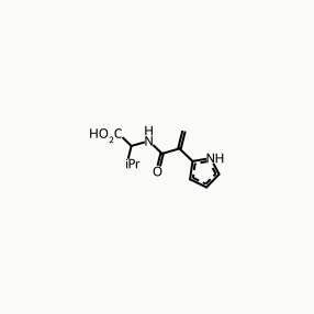 C=C(C(=O)NC(C(=O)O)C(C)C)c1ccc[nH]1